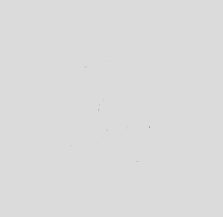 CC=C(C)OC1(C2=CCCCC2)CCCCC1